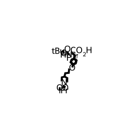 CC(C)OC(=O)N1CCC(CCCOc2ccc([C@H](C)[C@H](NC(=O)OC(C)(C)C)C(=O)O)c(F)c2)CC1